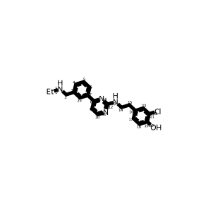 CCNCc1cccc(-c2ccnc(NCCc3ccc(O)c(Cl)c3)n2)c1